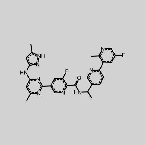 Cc1cc(Nc2cc(C)[nH]n2)nc(-c2cnc(C(=O)NC(C)c3ccc(-c4cc(F)cnc4C)nc3)c(F)c2)n1